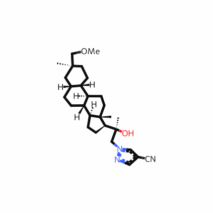 COC[C@@]1(C)CC[C@H]2[C@H](CC[C@@H]3[C@@H]2CC[C@@]2(C)[C@H]3CC[C@@H]2[C@@](C)(O)Cn2cc(C#N)cn2)C1